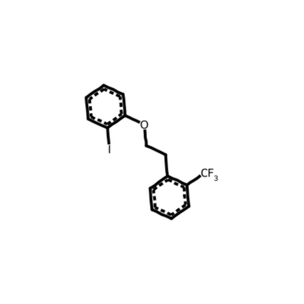 FC(F)(F)c1ccccc1CCOc1ccccc1I